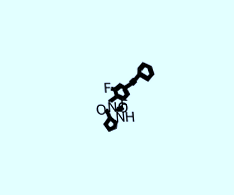 O=C1NC2CCCC2C(=O)N1Cc1c(F)cc(C#Cc2ccccc2)cc1F